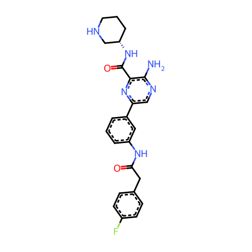 Nc1ncc(-c2cccc(NC(=O)Cc3ccc(F)cc3)c2)nc1C(=O)N[C@H]1CCCNC1